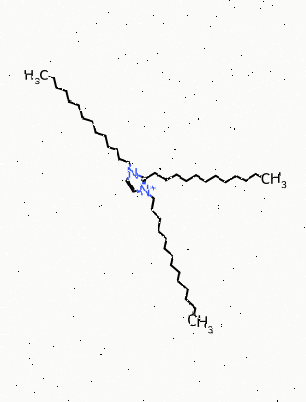 CCCCCCCCCCCCCCn1cc[n+](CCCCCCCCCCCCCC)c1CCCCCCCCCCCC